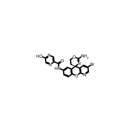 NC1=N[C@@]2(CCO1)c1cc(NC(=O)c3cnc(O)cn3)ccc1Oc1ncc(Br)cc12